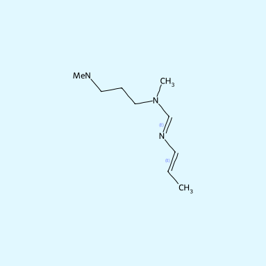 C/C=C/N=C/N(C)CCCNC